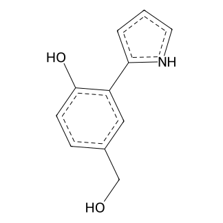 OCc1ccc(O)c(-c2ccc[nH]2)c1